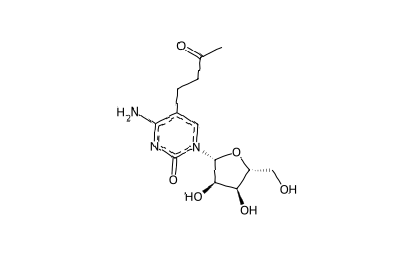 CC(=O)CCc1cn([C@@H]2O[C@H](CO)[C@@H](O)[C@H]2O)c(=O)nc1N